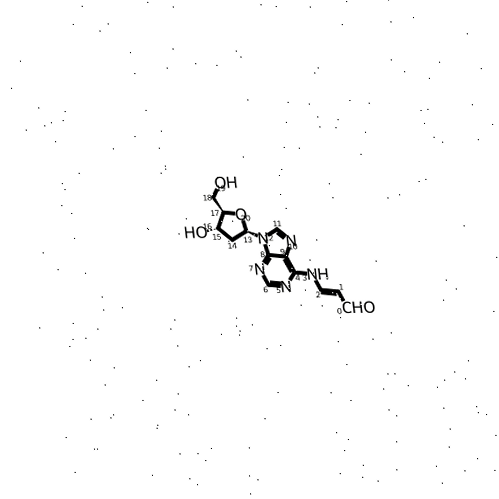 O=C/C=C/Nc1ncnc2c1ncn2[C@H]1C[C@H](O)[C@@H](CO)O1